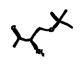 CC(=O)[C@H](N)COC(C)(C)C